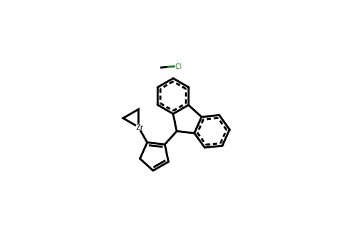 C1=CC(C2c3ccccc3-c3ccccc32)=[C]([Zr]2[CH2][CH2]2)C1.CCl